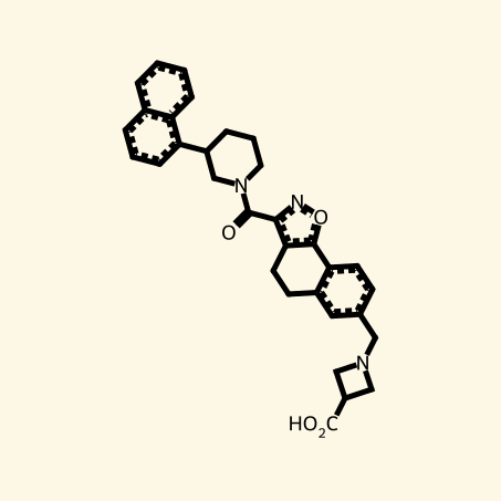 O=C(O)C1CN(Cc2ccc3c(c2)CCc2c(C(=O)N4CCCC(c5cccc6ccccc56)C4)noc2-3)C1